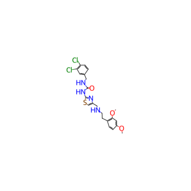 COc1ccc(CCNCc2csc(NC(=O)NCc3ccc(Cl)c(Cl)c3)n2)c(OC)c1